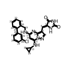 O=C1NC(=O)/C(=C/c2cnn3c(NC4CC4)cc(NCc4ccccc4-c4cccc(Cl)c4)nc23)N1